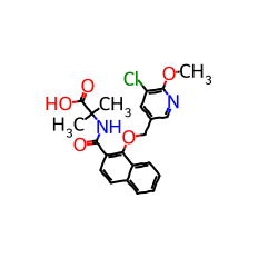 COc1ncc(COc2c(C(=O)NC(C)(C)C(=O)O)ccc3ccccc23)cc1Cl